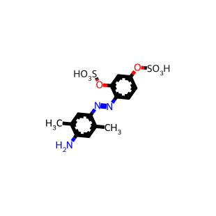 Cc1cc(N=Nc2ccc(OS(=O)(=O)O)cc2OS(=O)(=O)O)c(C)cc1N